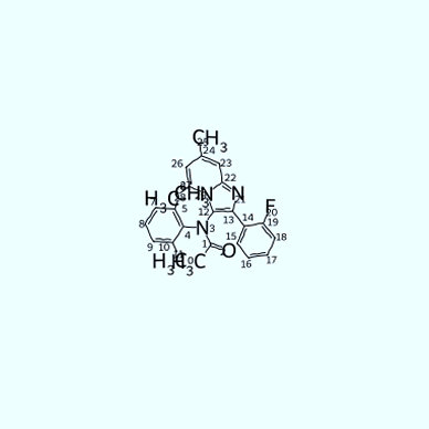 CC(=O)N(c1c(C)cccc1C)c1c(-c2ccccc2F)nc2cc(C)cc(C)n12